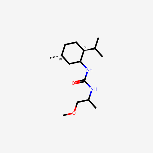 COCC(C)NC(=O)NC1C[C@H](C)CC[C@H]1C(C)C